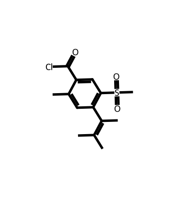 CC(C)=C(C)c1cc(C)c(C(=O)Cl)cc1S(C)(=O)=O